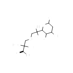 CCC(=O)C(C)(C)COCC(C)(C)C1OC(O)CC(O)C1O